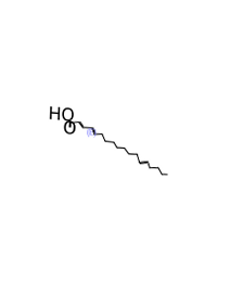 CCCCC=CCCCCCCC/C=C/C=CC(=O)O